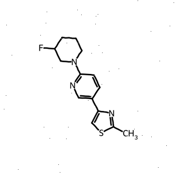 Cc1nc(-c2ccc(N3CCCC(F)C3)nc2)cs1